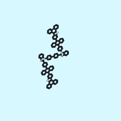 c1ccc2c(c1)nc(-c1ccc(-c3c4ccccc4c(-c4ccc5c(c4)oc4c6ccccc6c6ccccc6c54)c4ccccc34)cc1)n2-c1ccc(-c2ccc(-c3nc4ccccc4n3-c3ccc(-c4c5ccccc5c(-c5ccc6c(c5)oc5c7ccccc7c7ccccc7c65)c5ccccc45)cc3)cc2)cc1